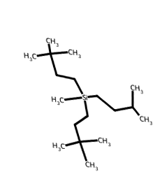 CC(C)CC[Si](C)(CCC(C)(C)C)CCC(C)(C)C